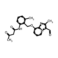 CC(=O)CC(=O)Nc1cccc(C)c1COc1cccn2c(C=O)c(C)nc12